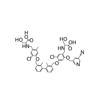 Cc1cc(OCc2cccc(-c3cccc(COc4cc(OCc5cncc(C#N)c5)c(CNC(CO)C(=O)O)cc4Cl)c3C)c2C)c(Cl)cc1CNC(CO)C(=O)O